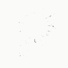 CO[C@H]1C[C@@H](C)C/C(C)=C/[C@@H](CCF)C(=O)C[C@H](O)[C@@H](C)[C@@H](/C(C)=C/[C@@H]2CC[C@@H](O)[C@H](OC)C2)OC(=O)[C@@H]2CCCCN2C(=O)C(=O)[C@]2(O)O[C@H]1[C@@H](OC)C[C@H]2C